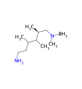 BN(C)C[C@H](C)C(C)C(C)CCN